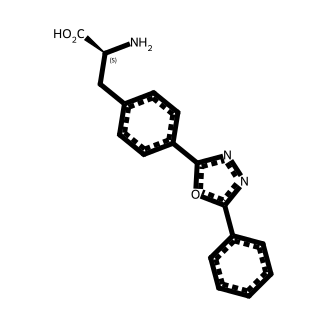 N[C@@H](Cc1ccc(-c2nnc(-c3ccccc3)o2)cc1)C(=O)O